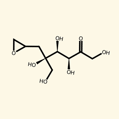 O=C(CO)[C@@H](O)[C@H](O)[C@](O)(CO)CC1CO1